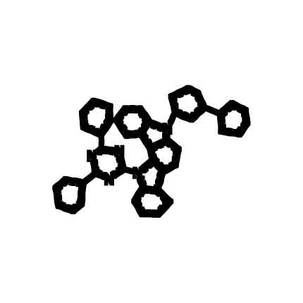 c1ccc(-c2cccc(-n3c4ccccc4c4c3ccc3c5ccccc5n(-c5nc(-c6ccccc6)nc(-c6ccccc6)n5)c34)c2)cc1